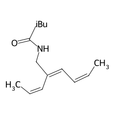 C\C=C/C=C(\C=C/C)CNC(=O)C(C)CC